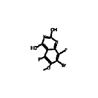 COc1c(Br)c(F)c2nc(O)nc(O)c2c1F